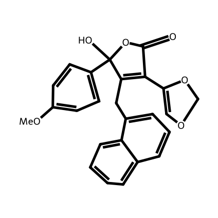 COc1ccc(C2(O)OC(=O)C(C3=COCO3)=C2Cc2cccc3ccccc23)cc1